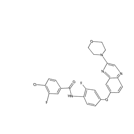 O=C(Nc1ccc(Oc2ccc3ncc(N4CCOCC4)nc3c2)cc1F)c1ccc(Cl)c(F)c1